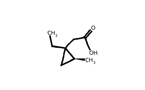 CCC1(CC(=O)O)C[C@@H]1C